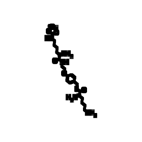 CC(C)(C)OC(=O)NCCCC[C@@H](N)C(=O)NCCOc1ccc(CSC(=O)[C@@H](N)CCCCN)cc1